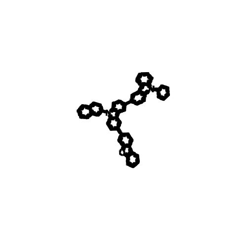 c1ccc(-n2c3ccccc3c3cc(-c4ccc5c(c4)c4cc(-c6ccc7c(c6)oc6ccccc67)ccc4n5-c4ccc5ccccc5c4)ccc32)cc1